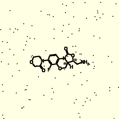 NC[C@@H]1OC(=O)N2c3ccc(N4CCOCC4=O)c(F)c3OC[C@@H]12